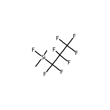 C[Si](C)(F)C(F)(F)C(F)(F)C(F)(F)F